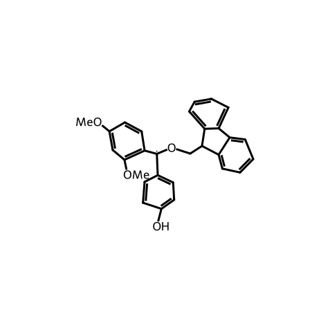 COc1ccc([C](OCC2c3ccccc3-c3ccccc32)c2ccc(O)cc2)c(OC)c1